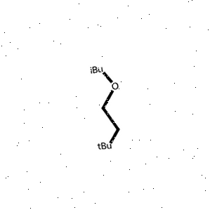 CCC(C)OCCC(C)(C)C